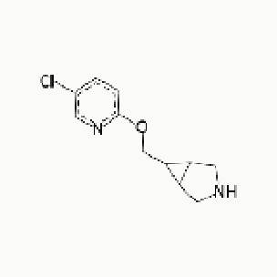 Clc1ccc(OCC2C3CNCC32)nc1